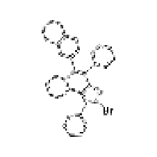 Brc1sc2c(-c3ccccc3)c(-c3ccc4ccccc4c3)c3ccccc3c2c1-c1ccccc1